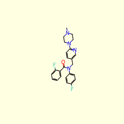 CN1CCN(c2ccc(CN(C(=O)c3ccccc3F)c3ccc(F)cc3)cn2)CC1